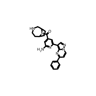 Nc1cc(C(=O)N2C3CCNCC2CC3)cc(-c2cnn3ccc(-c4ccccc4)nc23)n1